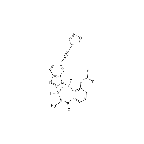 CN1C(=O)c2cccc(OC(F)F)c2[C@H]2C[C@@H]1c1nc3ccc(C#Cc4cnoc4)cc3n12